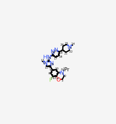 CC(C)N1CCOc2c(F)cc(-c3cn(C)c(Nc4ccc(C5CCN(C)CC5)nn4)n3)cc21